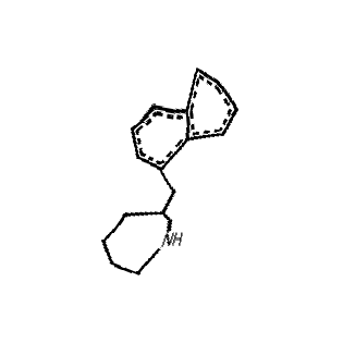 c1ccc2c(CC3CCCCN3)cccc2c1